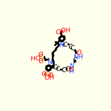 CC12CCCCCC(=O)NCCNC(=O)CCCCCN3c4ccc(C(=O)O)cc4C(C)(C)C3/C=C/C=C/C=C/1N(CCCS(=O)(=O)O)c1ccc(S(=O)(=O)O)cc12